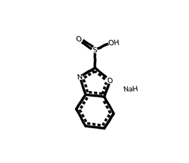 O=S(O)c1nc2ccccc2o1.[NaH]